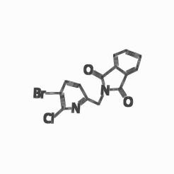 O=C1c2ccccc2C(=O)N1Cc1ccc(Br)c(Cl)n1